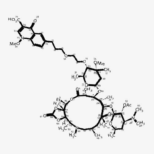 CC[C@H]1OC(=O)[C@H](C)[C@@H](O[C@H]2C[C@@](C)(OC)[C@@H](OCCOCCCc3ccc4c(c3)c(=O)c(C(=O)O)cn4OC)[C@H](C)O2)[C@H](C)[C@@H](O[C@@H]2O[C@H](C)C[C@H](N(C)C)[C@H]2OC(C)=O)[C@](C)(O)C[C@@H](C)CN(C)[C@H](C)[C@H]2OC(=O)O[C@@]21C